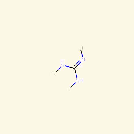 C/N=C(\N[N+](=O)[O-])NC(C)(C)C